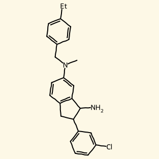 CCc1ccc(CN(C)c2ccc3c(c2)C(N)C(c2cccc(Cl)c2)C3)cc1